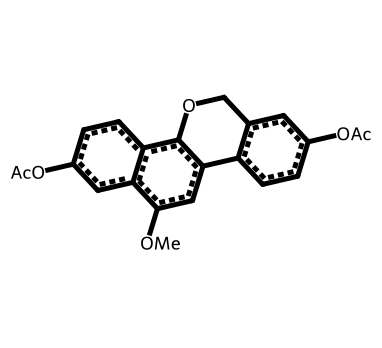 COc1cc2c(c3ccc(OC(C)=O)cc13)OCc1cc(OC(C)=O)ccc1-2